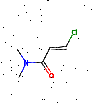 CN(C)C(=O)/C=C/Cl